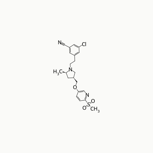 C[C@@H]1C[C@H](COc2ccc(S(C)(=O)=O)nc2)CN1CCc1cc(Cl)cc(C#N)c1